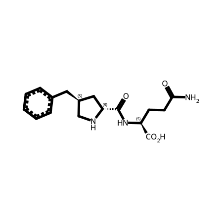 NC(=O)CC[C@H](NC(=O)[C@H]1C[C@H](Cc2ccccc2)CN1)C(=O)O